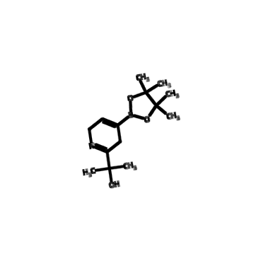 CC(C)(O)C1=NCC=C(B2OC(C)(C)C(C)(C)O2)C1